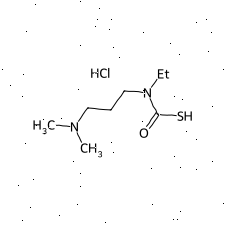 CCN(CCCN(C)C)C(=O)S.Cl